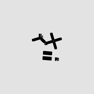 C=C.C=C.C[SiH2]O[Si](C)(C)C.[Pt]